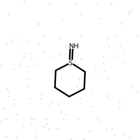 N=S1CCCCC1